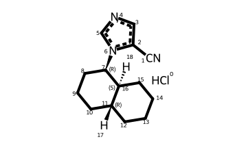 Cl.N#Cc1cncn1[C@@H]1CCC[C@H]2CCCC[C@@H]21